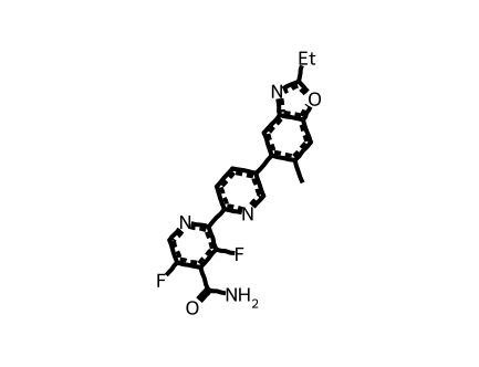 CCc1nc2cc(-c3ccc(-c4ncc(F)c(C(N)=O)c4F)nc3)c(C)cc2o1